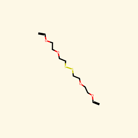 C=COCCOCCSSCCOCCOC=C